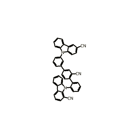 N#Cc1ccc2c(c1)c1ccccc1n2-c1cccc(-c2ccc(-c3ccccc3-n3c4ccccc4c4cccc(C#N)c43)c(C#N)c2)c1